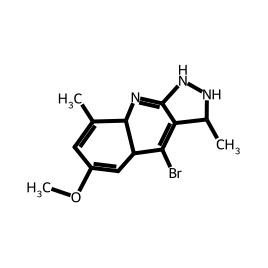 COC1=CC2C(Br)=C3C(=NC2C(C)=C1)NNC3C